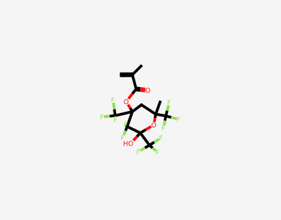 C=C(C)C(=O)OC1(C(F)(F)F)CC(C)(C(F)(F)F)OC(O)(C(F)(F)F)C1(F)F